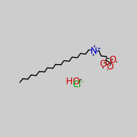 CCCCCCCCCCCCCCCCCC[N+](C)(C)CCC[Si](OC)(OC)OC.CO.[Cl-]